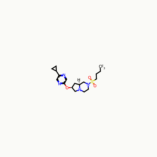 O=S(=O)(CCCC(F)(F)F)N1CCN2C[C@@H](Oc3cnc(C4CC4)cn3)C[C@H]2C1